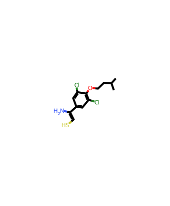 CC(C)CCOc1c(Cl)cc(/C(N)=C/S)cc1Cl